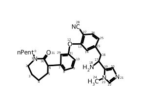 CCCCCN1CCCCC(c2cccc(Oc3cc(CC(N)c4cncn4C)ccc3C#N)c2)C1=O